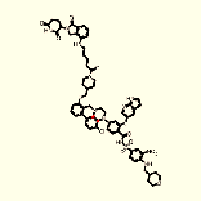 O=C1CCC(N2Cc3c(NCCCCC(=O)N4CCC(COc5cccc(-c6ccc(Cl)cc6)c5CN5CCN(c6ccc(C(=O)NS(=O)(=O)c7ccc(NCC8CCOCC8)c([N+](=O)[O-])c7)c(Oc7cnc8[nH]ccc8c7)c6)CC5)CC4)cccc3C2=O)C(=O)N1